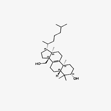 CC(C)CCCC(C)[C@H]1CC[C@@]2(CO)C3=C(CC[C@]12C)[C@@]1(C)CC[C@H](O)C(C)(C)[C@@H]1CC3